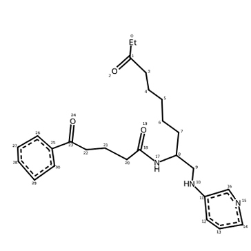 CCC(=O)CCCCCC(CNc1cccnc1)NC(=O)CCCC(=O)c1ccccc1